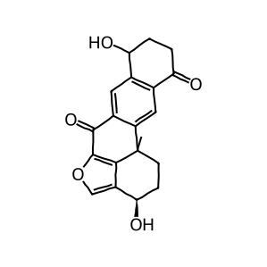 CC12CC[C@@H](O)c3coc(c31)C(=O)c1cc3c(cc12)C(=O)CCC3O